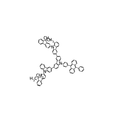 CC1(C)c2ccccc2-c2ccc(-n3c4ccccc4c4cc(-c5ccc6c(c5)c5cc(-c7ccc8c(c7)c7ccccc7n8-c7ccc8c(c7)C(C)(C)c7ccccc7-8)ccc5n6-c5ccc(-c6c7ccccc7c(-c7ccccc7)c7ccccc67)cc5)ccc43)cc21